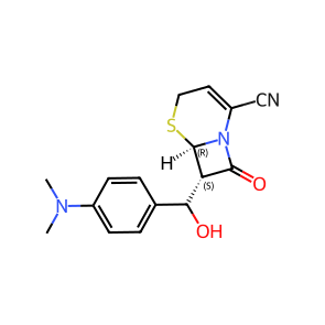 CN(C)c1ccc(C(O)[C@H]2C(=O)N3C(C#N)=CCS[C@H]23)cc1